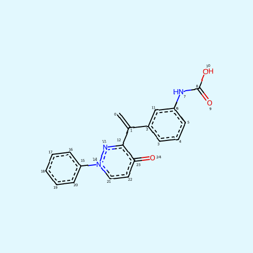 C=C(c1cccc(NC(=O)O)c1)c1nn(-c2ccccc2)ccc1=O